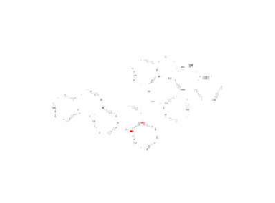 c1ccc(-c2ccccc2N(c2ccc3ccc4c5ccccc5ccc4c3c2)c2cccc3oc4cc5ccccc5cc4c23)cc1